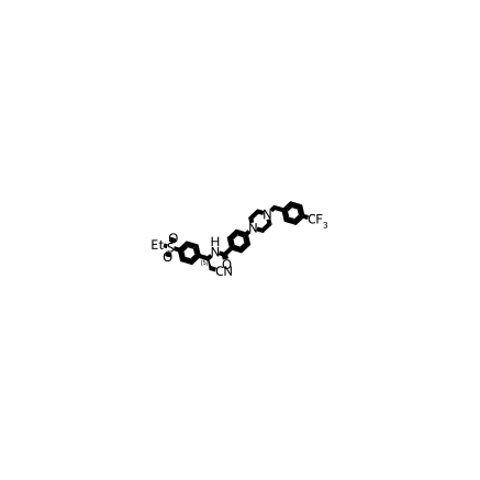 CCS(=O)(=O)c1ccc([C@H](CC#N)NC(=O)c2ccc(N3CCN(Cc4ccc(C(F)(F)F)cc4)CC3)cc2)cc1